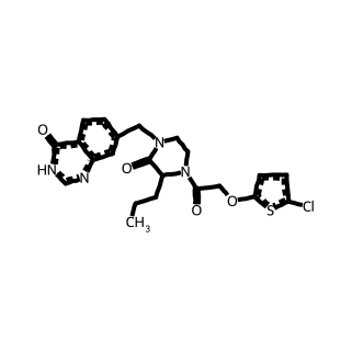 CCCC1C(=O)N(Cc2ccc3c(=O)[nH]cnc3c2)CCN1C(=O)COc1ccc(Cl)s1